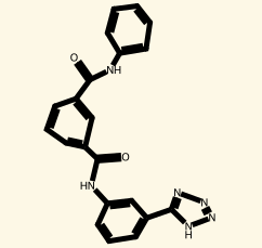 O=C(Nc1ccccc1)c1cccc(C(=O)Nc2cccc(-c3nnn[nH]3)c2)c1